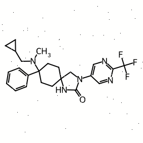 CN(CC1CC1)C1(c2ccccc2)CCC2(CC1)CN(c1cnc(C(F)(F)F)nc1)C(=O)N2